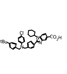 CC(C)(C)c1ccc(CN(Cc2ccc(-c3nc4cc(C(=O)O)ccc4n3C3CCCCC3)cc2)c2ccc(Cl)cc2)cc1